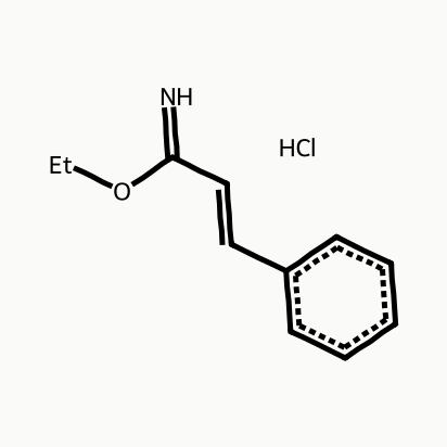 CCOC(=N)C=Cc1ccccc1.Cl